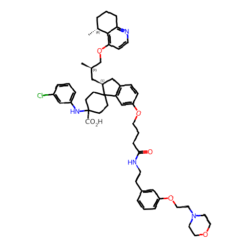 C[C@@H](COc1ccnc2c1[C@H](C)CCC2)C[C@H]1Cc2ccc(OCCCC(=O)NCCc3cccc(OCCN4CCOCC4)c3)cc2C12CCC(Nc1cccc(Cl)c1)(C(=O)O)CC2